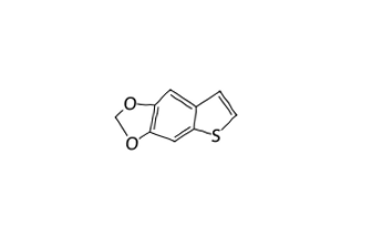 c1cc2cc3c(cc2s1)OCO3